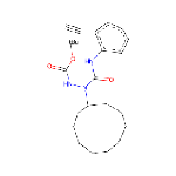 C#Cc1ccccc1NC(=O)N(NC(=O)OC(C)(C)C)C1CCCCCCCCC1